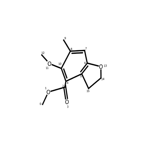 COC(=O)c1c2c(cc(C)c1OC)OCC2